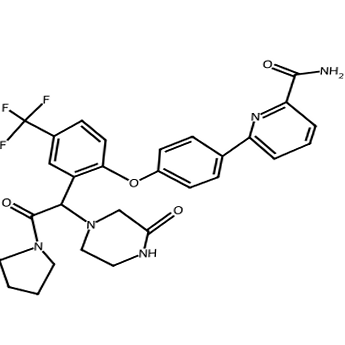 NC(=O)c1cccc(-c2ccc(Oc3ccc(C(F)(F)F)cc3C(C(=O)N3CCCC3)N3CCNC(=O)C3)cc2)n1